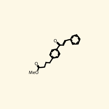 COC(=O)CCCc1ccc(C(=O)/C=C/c2ccccc2)cc1